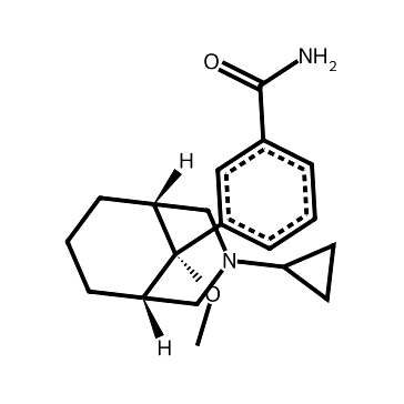 CO[C@@]1(c2cccc(C(N)=O)c2)[C@@H]2CCC[C@H]1CN(C1CC1)C2